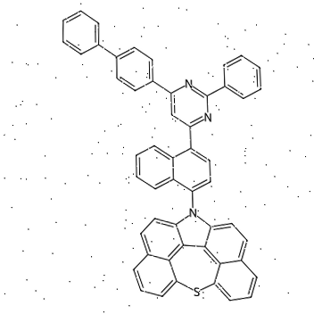 c1ccc(-c2ccc(-c3cc(-c4ccc(-n5c6ccc7cccc8sc9cccc%10ccc5c(c%109)c6c78)c5ccccc45)nc(-c4ccccc4)n3)cc2)cc1